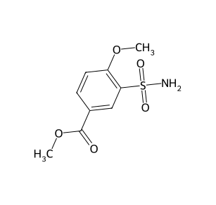 COC(=O)c1ccc(OC)c(S(N)(=O)=O)c1